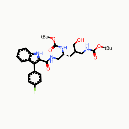 CC(C)(C)OC(=O)NCC(CO)C[C@H](CNC(=O)c1[nH]c2ccccc2c1-c1ccc(F)cc1)NC(=O)OC(C)(C)C